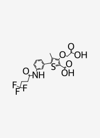 Cc1c(-c2cccc(NC(=O)CCC(F)(F)F)c2)sc(C(=O)O)c1OCC(=O)O